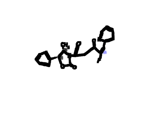 C[C@H]1[C@@H](c2ccccc2)OC(=O)N1C(=O)CC(=O)/C(F)=C\c1ccccn1